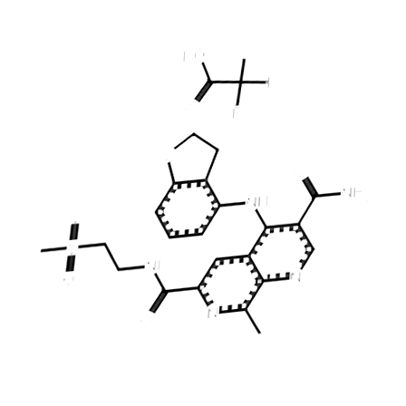 Cc1nc(C(=O)NCCS(C)(=O)=O)cc2c(Nc3cccc4c3CCO4)c(C(N)=O)cnc12.O=C(O)C(F)(F)F